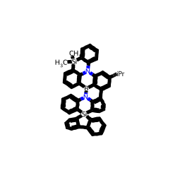 CC(C)c1cc2c3c(c1)N1c4ccccc4[Si](C)(C)c4cccc(c41)B3N1c3ccccc3[Si]3(c4ccccc4-c4ccccc43)c3cccc-2c31